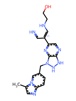 Cc1cnc2ccc(CN3NNc4ncc(/C(C=N)=C/NCCO)nc43)cn12